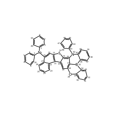 c1ccc(N(c2ccccc2)c2cc3sc4c5c6c(cc4c3c3ccccc23)Oc2ccccc2B6c2ccccc2N5c2ccccc2)cc1